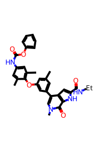 CCNC(=O)c1cc2c(-c3cc(C)cc(Oc4c(C)cc(NC(=O)Oc5ccccc5)cc4C)c3)cn(C)c(=O)c2[nH]1